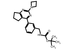 CC(C)(C)OC(=O)NCc1cccc(-c2nc(N3CCC3)nc3c2CCC3)c1